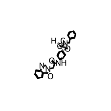 CN(Cc1ccccc1)S(=O)(=O)c1ccc(NC(=O)Cn2cnc3ccccc3c2=O)cc1